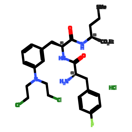 CCOC(=O)[C@H](CCSC)NC(=O)[C@H](Cc1cccc(N(CCCl)CCCl)c1)NC(=O)[C@@H](N)Cc1ccc(F)cc1.Cl